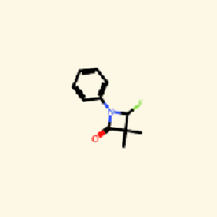 CC1(C)C(=O)N(c2ccccc2)C1F